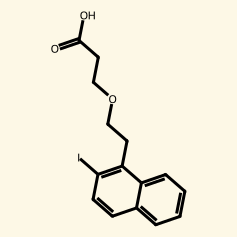 O=C(O)CCOCCc1c(I)ccc2ccccc12